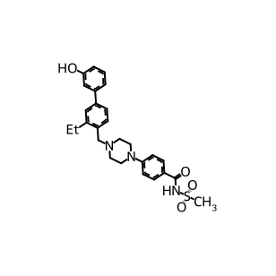 CCc1cc(-c2cccc(O)c2)ccc1CN1CCN(c2ccc(C(=O)NS(C)(=O)=O)cc2)CC1